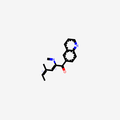 C=N/C(=C\C(C)=C/C)C(=O)c1ccc2ncccc2c1